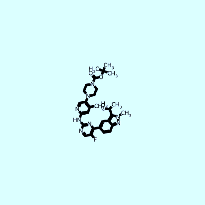 Cc1cc(Nc2ncc(F)c(-c3ccc4nn(C)c(C(C)C)c4c3)n2)ncc1N1CCN(C(=O)OC(C)(C)C)CC1